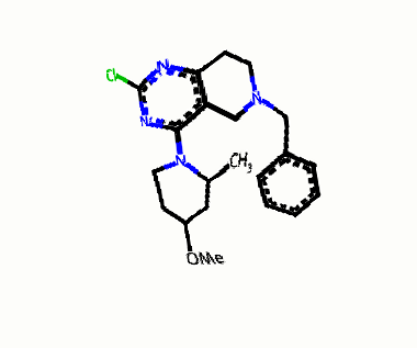 COC1CCN(c2nc(Cl)nc3c2CN(Cc2ccccc2)CC3)C(C)C1